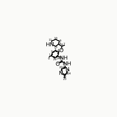 Cc1ccc(OC(C)C2CCCNC2)c(NC(=O)Nc2cnc(C)cn2)c1